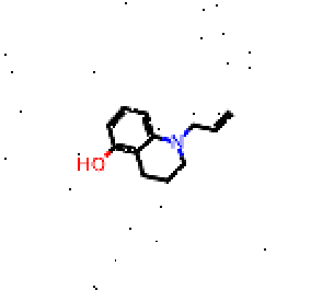 C=CCN1CCCc2c(O)cccc21